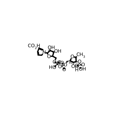 C[C@@H]1O[C@H](COP(=O)(O)OP(=O)(O)OCC2OC(N3C=C(C(=O)O)C=CC3)[C@H](O)[C@@H]2O)[C@@H](O)[C@H]1OP(=O)(O)O